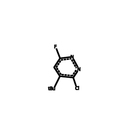 CC(C)(C)c1cc(F)nnc1Cl